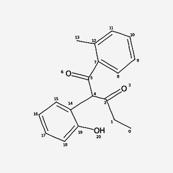 CCC(=O)C(C(=O)c1ccccc1C)c1ccccc1O